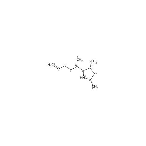 C=CCCC(=C)C1NC(C)CC1C